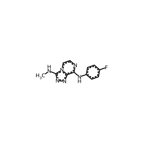 CNc1nnc2c(Nc3ccc(F)cc3)nccn12